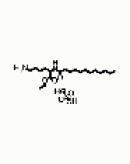 CCCCCCCCCCCC(=O)NC(CCCCN)C(=O)OCC.O=S(=O)(O)O